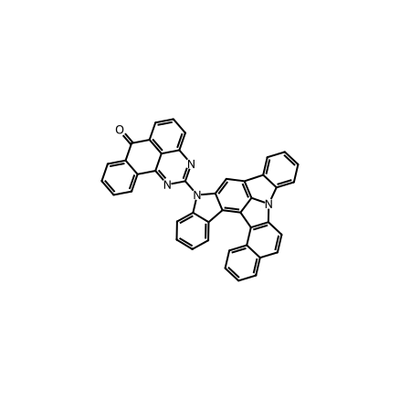 O=C1c2ccccc2-c2nc(-n3c4ccccc4c4c5c6c7ccccc7ccc6n6c7ccccc7c(cc43)c56)nc3cccc1c23